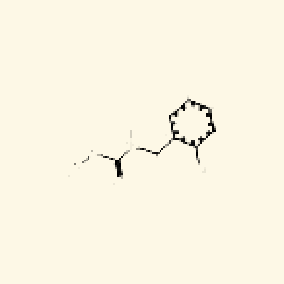 NNC(=S)NCc1ccccc1Br